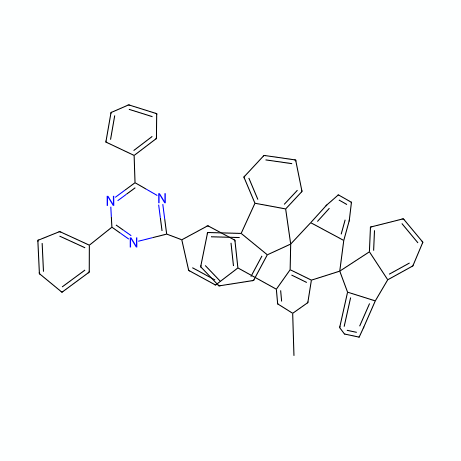 CC1C=C(C2=CCC(c3nc(-c4ccccc4)nc(-c4ccccc4)n3)C=C2)C2=C(C1)C1(c3ccccc3-c3ccccc31)c1ccccc1C21c2ccccc2-c2ccccc21